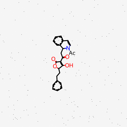 CC(=O)N1C=Cc2ccccc2C1CC(=O)C1=C(O)C(CCc2ccccc2)OC1=O